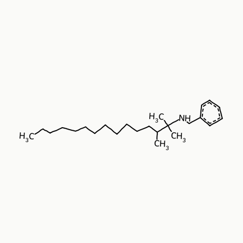 CCCCCCCCCCCCC(C)C(C)(C)NCc1ccccc1